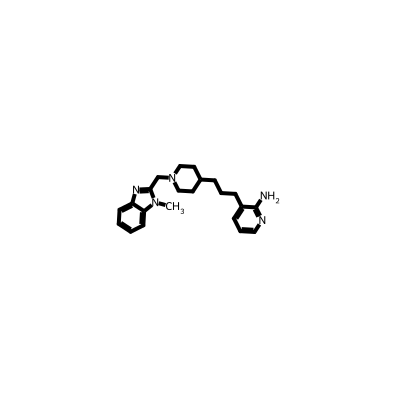 Cn1c(CN2CCC(CCCc3cccnc3N)CC2)nc2ccccc21